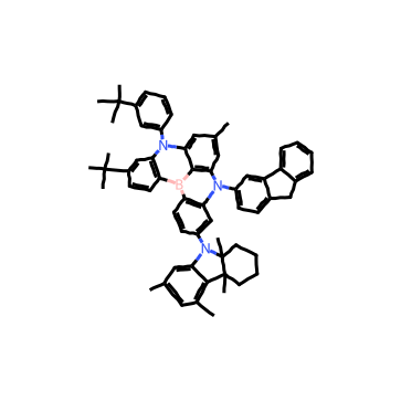 Cc1cc2c3c(c1)N(c1cccc(C(C)(C)C)c1)c1cc(C(C)(C)C)ccc1B3c1ccc(N3c4cc(C)cc(C)c4C4(C)CCCCC34C)cc1N2c1ccc2c(c1)-c1ccccc1C2